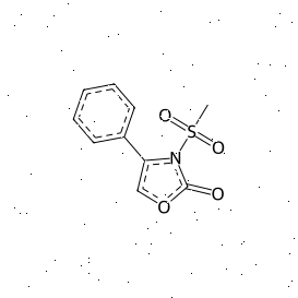 CS(=O)(=O)n1c(-c2ccccc2)coc1=O